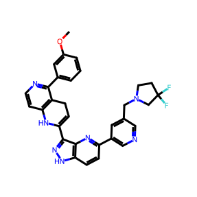 COc1cccc(-c2nccc3c2CC=C(c2n[nH]c4ccc(-c5cncc(CN6CCC(F)(F)C6)c5)nc24)N3)c1